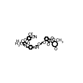 CC1CCC(=O)CCC(N2C(=O)c3cccc(OCCOCCNc4ccc(CN5CC(C)(C)C(Oc6ccc(C#N)c(C(F)(F)F)c6)C5=O)cc4)c3C2=O)C1=O